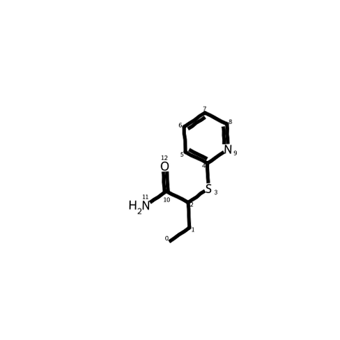 CCC(Sc1ccccn1)C(N)=O